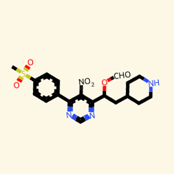 CS(=O)(=O)c1ccc(-c2ncnc(C(CC3CCNCC3)OC=O)c2[N+](=O)[O-])cc1